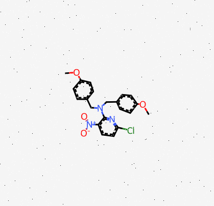 COc1ccc(CN(Cc2ccc(OC)cc2)c2nc(Cl)ccc2[N+](=O)[O-])cc1